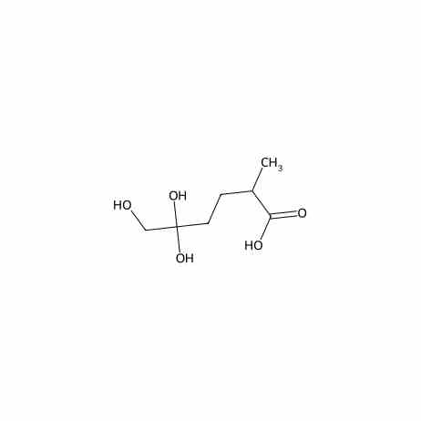 CC(CCC(O)(O)CO)C(=O)O